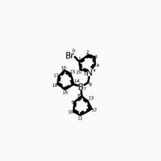 Brc1ccc[n+](CB(c2ccccc2)c2ccccc2)c1